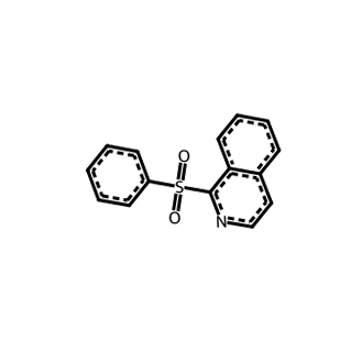 O=S(=O)(c1ccccc1)c1nccc2ccccc12